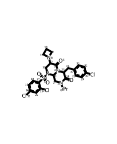 CC(C)N1CC2N(C(=O)C(N3CCC3)CN2S(=O)(=O)c2ccc(Cl)cc2Cl)C(Cc2ccc(Cl)cc2)C1=O